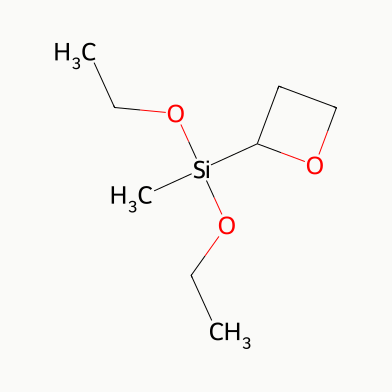 CCO[Si](C)(OCC)C1CCO1